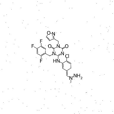 CN(N)/C=C1/C=C(Nc2nc(=O)n(Cc3ccon3)c(=O)n2Cc2cc(F)c(F)cc2F)C(Cl)=CC1